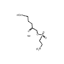 CCCCCCCCCCCC(=O)COS(=O)(=O)CCN.[Na]